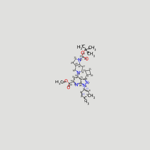 C/C=C\C(=C/C)n1nc(C2CCC2)c2c(N3CCC4C(CCN4C(=O)OC(C)(C)C)C3)cc(C(=O)OC)nc21